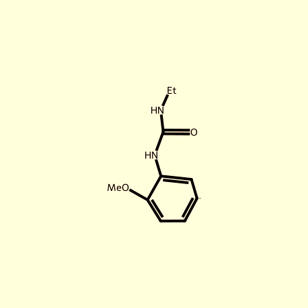 CCNC(=O)Nc1c[c]ccc1OC